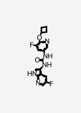 O=C(Nc1cnc(OC2CCC2)c(F)c1)Nc1c[nH]c2ncc(F)cc12